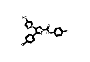 N#Cc1cnn(C2CN(C(=O)Nc3ccc(Cl)cc3)N=C2c2ccc(Cl)cc2)c1